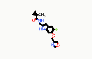 CC1(C(=O)NCc2cc3cc(F)c(OCc4cocn4)cc3[nH]2)CC1